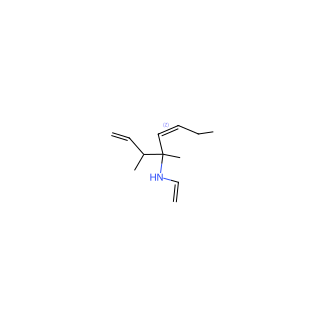 C=CNC(C)(/C=C\CC)C(C)C=C